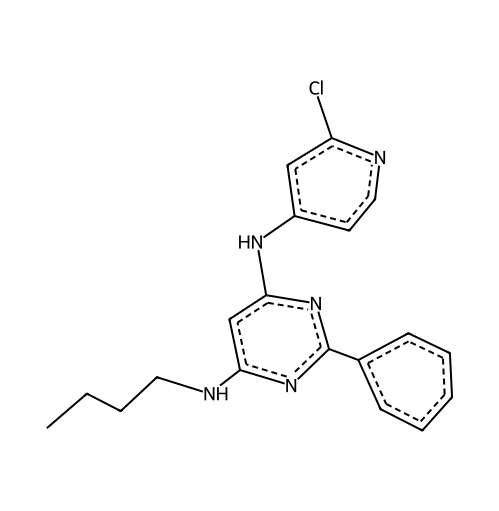 CCCCNc1cc(Nc2ccnc(Cl)c2)nc(-c2ccccc2)n1